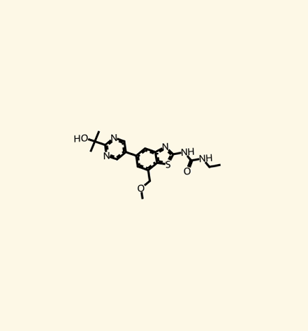 CCNC(=O)Nc1nc2cc(-c3cnc(C(C)(C)O)nc3)cc(COC)c2s1